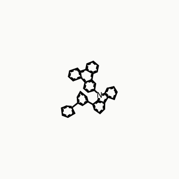 c1ccc(-c2cccc(-c3cccc4c5ccccc5n(-c5ccc6c7ccccc7c7ccccc7c6c5)c34)c2)cc1